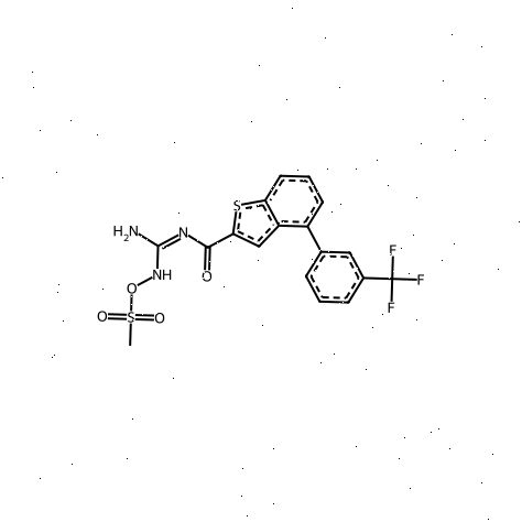 CS(=O)(=O)ONC(N)=NC(=O)c1cc2c(-c3cccc(C(F)(F)F)c3)cccc2s1